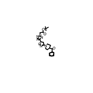 CC(C)(C)OC(=O)Cn1nnc(C2CC(N3CCC(C(=O)c4ccccc4)CC3)=NO2)n1